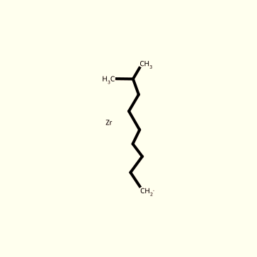 [CH2]CCCCCCC(C)C.[Zr]